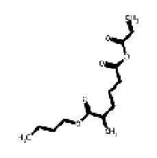 C=CC(=O)OC(=O)CCCC(C)C(=O)OCCCC